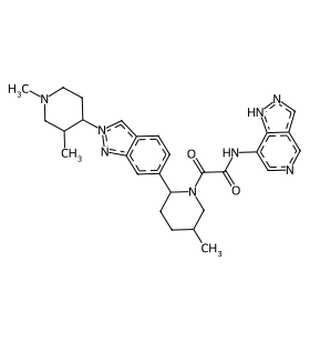 CC1CCC(c2ccc3cn(C4CCN(C)CC4C)nc3c2)N(C(=O)C(=O)Nc2cncc3cn[nH]c23)C1